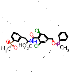 CP(OCc1cc(Cl)c(C(=O)NC(Cc2cccc(S(C)(=O)=O)c2)C(=O)O)c(Cl)c1)c1ccccc1